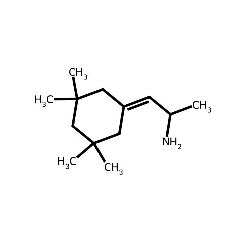 CC(N)C=C1CC(C)(C)CC(C)(C)C1